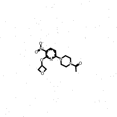 CC(=O)N1CCN(c2ccc([N+](=O)[O-])c(OC3COC3)n2)CC1